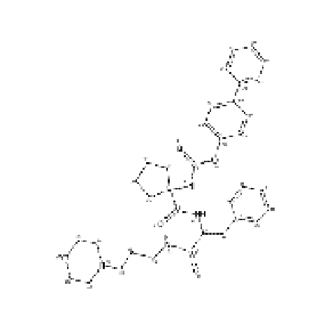 O=C(NC1(C(=O)NC(Cc2ccccc2)C(=O)NCCCN2CCOCC2)CCCC1)Oc1ccc(-c2ccccc2)cc1